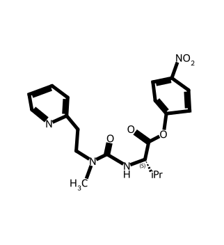 CC(C)[C@H](NC(=O)N(C)CCc1ccccn1)C(=O)Oc1ccc([N+](=O)[O-])cc1